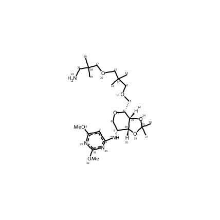 COc1cc(N[C@@H]2CO[C@H](COCC(C)(C)COCC(C)(C)CN)[C@@H]3OC(C)(C)O[C@@H]32)nc(OC)n1